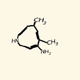 CC1=C/C(C)/C=C\NC/C=C\1N